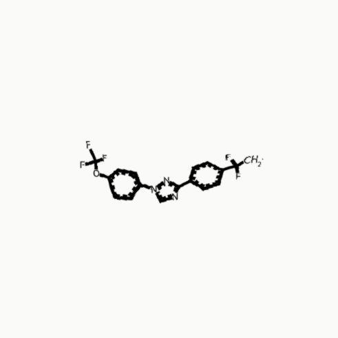 [CH2]C(F)(F)c1ccc(-c2ncn(-c3ccc(OC(F)(F)F)cc3)n2)cc1